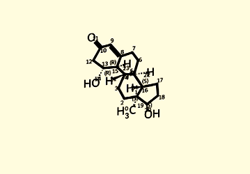 C[C@]12CC[C@H]3[C@@H](CCC4=CC(=O)C[C@@H](O)[C@@H]43)[C@@H]1CC[C@@H]2O